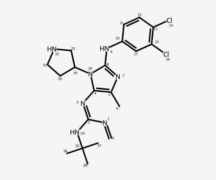 C=N/C(=N\c1c(C)nc(Nc2ccc(Cl)c(Cl)c2)n1C1CCNC1)NC(C)(C)C